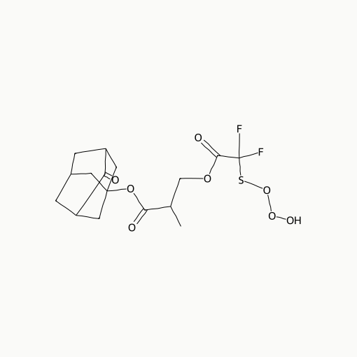 CC(COC(=O)C(F)(F)SOOO)C(=O)OC12CC3CC(C1)C(=O)C(C3)C2